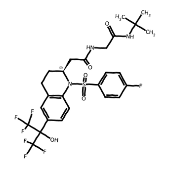 CC(C)(C)NC(=O)CNC(=O)C[C@@H]1CCc2cc(C(O)(C(F)(F)F)C(F)(F)F)ccc2N1S(=O)(=O)c1ccc(F)cc1